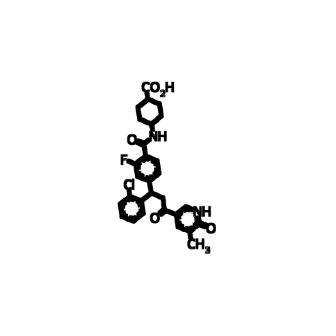 Cc1cc(C(=O)CC(c2ccc(C(=O)NC3CCC(C(=O)O)CC3)c(F)c2)c2ccccc2Cl)c[nH]c1=O